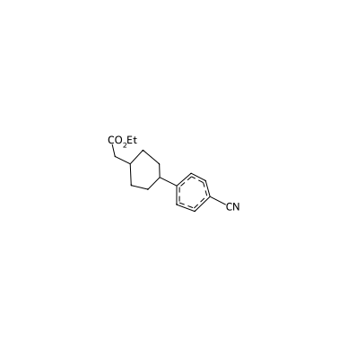 CCOC(=O)CC1CCC(c2ccc(C#N)cc2)CC1